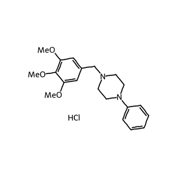 COc1cc(CN2CCN(c3ccccc3)CC2)cc(OC)c1OC.Cl